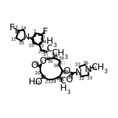 C/C(=C\c1cc(F)cc(N2CC[C@@H](F)C2)c1)[C@H]1OC(=O)C[C@H](O)CC[C@H](C)[C@@H](OC(=O)N2CCN(C)CC2)/C=C/[C@@H]1C